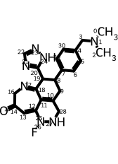 CN(C)Cc1ccc(C2CC3=C4C(=CC(=O)CN=C4C2c2ncn[nH]2)N(F)NC3)cc1